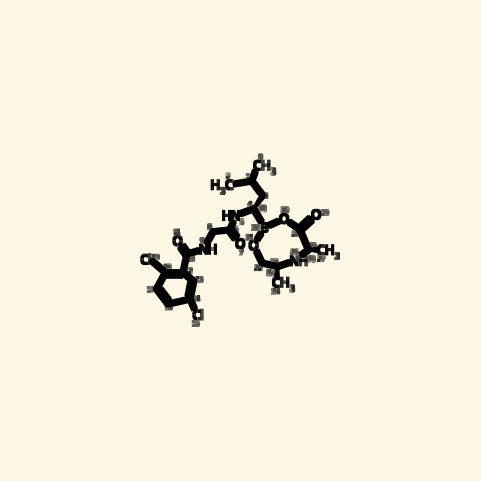 CC(C)C[C@H](NC(=O)CNC(=O)c1cc(Cl)ccc1Cl)B1OC[C@H](C)N[C@H](C)C(=O)O1